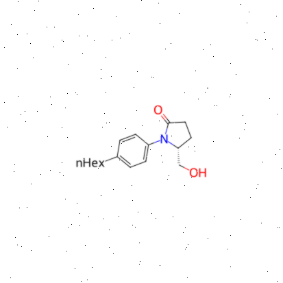 CCCCCCc1ccc(N2C(=O)CC[C@@H]2CO)cc1